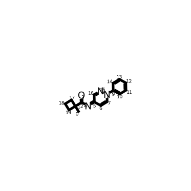 CC1(C(=O)N=c2ccn(-c3ccccc3)nc2)CCC1